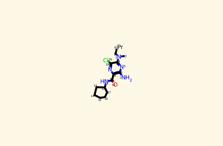 CC(C)CN(C)c1nc(N)c(C(=O)NC2CCCCC2)nc1Cl